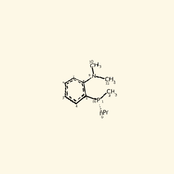 CCC[P@@](C)c1ccccc1N(C)C